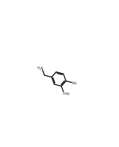 NCc1ccc(O)c(C=O)c1